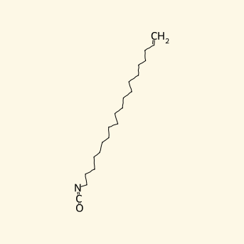 C=CCCCCCCCCCCCCCCCCCCN=C=O